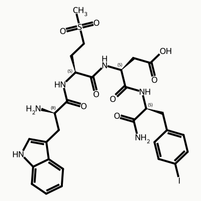 CS(=O)(=O)CC[C@H](NC(=O)[C@H](N)Cc1c[nH]c2ccccc12)C(=O)N[C@@H](CC(=O)O)C(=O)N[C@@H](Cc1ccc(I)cc1)C(N)=O